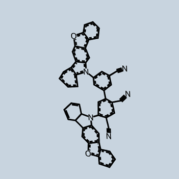 N#Cc1cc(-c2cc(N3c4cc5c(cc4C4C=CC=CC43)oc3ccccc35)c(C#N)cc2C#N)cc(-n2c3ccccc3c3cc4oc5ccccc5c4cc32)c1